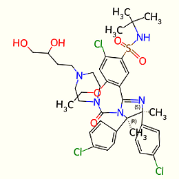 CCOc1cc(Cl)c(S(=O)(=O)NC(C)(C)C)cc1C1=N[C@@](C)(c2ccc(Cl)cc2)[C@@](C)(c2ccc(Cl)cc2)N1C(=O)N1CCN(CCC(O)CO)CC1